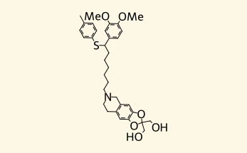 COc1ccc(C(CCCCCCN2CCc3cc4c(cc3C2)OC(CO)(CO)O4)Sc2ccc(C)cc2)cc1OC